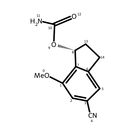 COc1cc(C#N)cc2c1[C@H](OC(N)=O)CC2